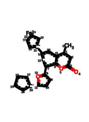 Cc1cc(=O)oc2c(-c3ccco3)cc(-[c-]3cccc3)cc12.[Fe+2].c1cc[cH-]c1